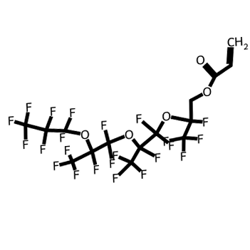 C=CC(=O)OCC(F)(OC(F)(F)C(F)(OC(F)(F)C(F)(OC(F)(F)C(F)(F)C(F)(F)F)C(F)(F)F)C(F)(F)F)C(F)(F)F